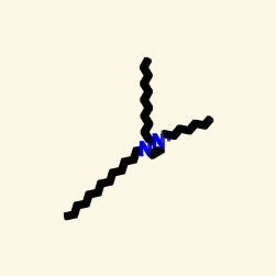 CCCCCCCCCCCCCn1cc[n+](CCCCCCC)c1CCCCCCCCCC